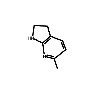 Cc1ccc2c(n1)NCC2